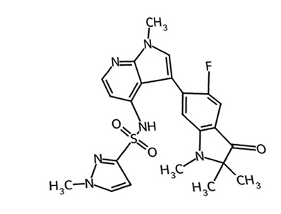 CN1c2cc(-c3cn(C)c4nccc(NS(=O)(=O)c5ccn(C)n5)c34)c(F)cc2C(=O)C1(C)C